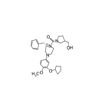 COc1ccc(N2CCN(C(=O)N3CCC(CO)C3)[C@@H](Cc3ccccc3)C2)cc1OC1CCCC1